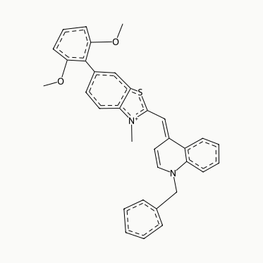 COc1cccc(OC)c1-c1ccc2c(c1)sc(C=C1C=CN(Cc3ccccc3)c3ccccc31)[n+]2C